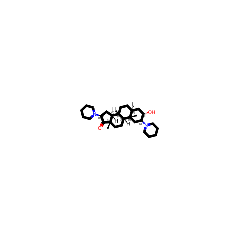 C[C@]12C[C@H](N3CCCCC3)[C@@H](O)C[C@@H]1CC[C@@H]1[C@@H]2CC[C@]2(C)C(=O)[C@@H](N3CCCCC3)C[C@@H]12